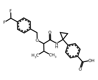 CC(C)C(OCc1ccc(C(F)F)cc1)C(=O)NC1(c2ccc(C(=O)O)cc2)CC1